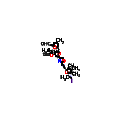 C=C1C[C@H](C[C@@H]2C[C@@H](O[Si](C)(C)C(C)(C)C)C[C@H](c3coc(/C=C/C[C@H]4O[C@@H](/C(C)=C/I)[C@H](C)[C@@H](C)[C@H]4C)n3)O2)O[C@@H](CC=O)C1